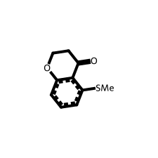 CSc1cccc2c1C(=O)CCO2